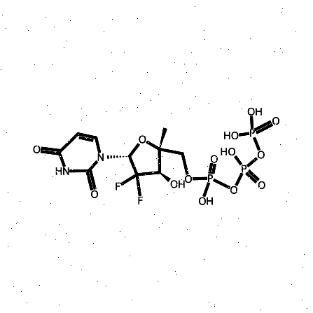 C[C@]1(COP(=O)(O)OP(=O)(O)OP(=O)(O)O)O[C@@H](n2ccc(=O)[nH]c2=O)C(F)(F)[C@@H]1O